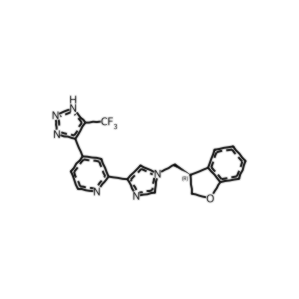 FC(F)(F)c1[nH]nnc1-c1ccnc(-c2cn(C[C@@H]3COc4ccccc43)cn2)c1